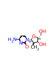 C=C1C(O)[C@@H](CO)O[C@H]1n1ccc(N)nc1=O